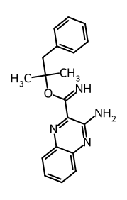 CC(C)(Cc1ccccc1)OC(=N)c1nc2ccccc2nc1N